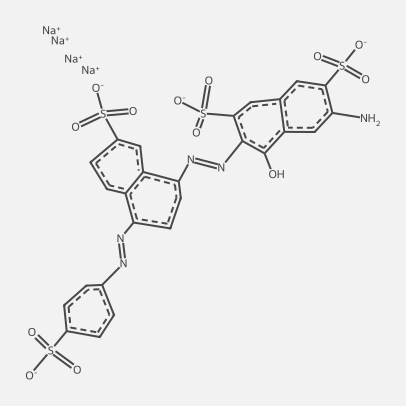 Nc1cc2c(O)c(N=Nc3ccc(N=Nc4ccc(S(=O)(=O)[O-])cc4)c4ccc(S(=O)(=O)[O-])cc34)c(S(=O)(=O)[O-])cc2cc1S(=O)(=O)[O-].[Na+].[Na+].[Na+].[Na+]